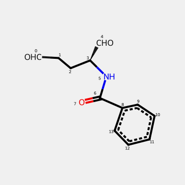 O=CCC[C@@H](C=O)NC(=O)c1ccccc1